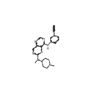 C#Cc1cccc(Nc2ncnc3cnc(N(C)C4CCN(C)CC4)nc23)c1